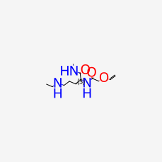 C=COCC(=O)N[C@@H](CCCNCC)C(=O)NC